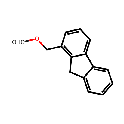 O=[C]O[CH]c1cccc2c1Cc1ccccc1-2